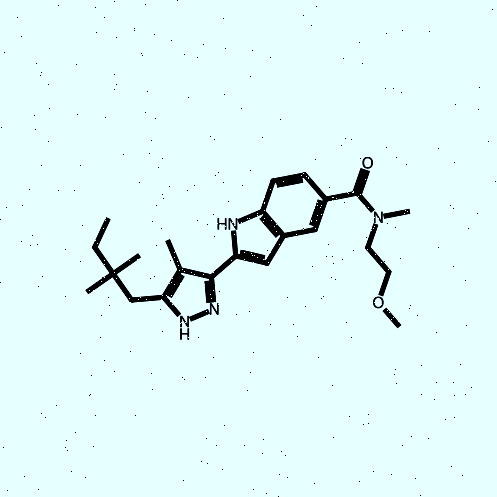 CCC(C)(C)Cc1[nH]nc(-c2cc3cc(C(=O)N(C)CCOC)ccc3[nH]2)c1C